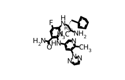 Cc1ncc(Nc2nc(N[C@H](Cc3ccccc3)[C@H](C)N)c(F)cc2C(N)=O)cc1-n1nccn1